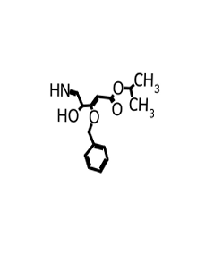 CC(C)OC(=O)/C=C(\OCc1ccccc1)C(O)C=N